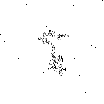 [2H]C([2H])([2H])Oc1c(N2CC3(CCN(CC4CCN(c5ncc(Cl)c(Nc6ccc7c(c6)cc(OCC(=O)NC)c(=O)n7C(C)C)n5)CC4)CC3)C2(C)C)ccc2c1CN(C1CCC(=O)NC1=O)C2=O